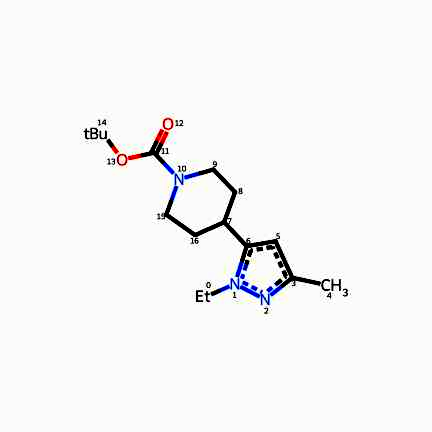 CCn1nc(C)cc1C1CCN(C(=O)OC(C)(C)C)CC1